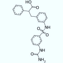 NC(=O)Nc1cccc(S(=O)(=O)Nc2cccc(CC(C(=O)O)c3ccccc3)c2)c1